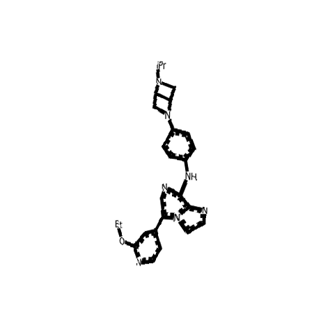 CCOc1cc(-c2cnc(Nc3ccc(N4CC5C4CN5C(C)C)cc3)c3nccn23)ccn1